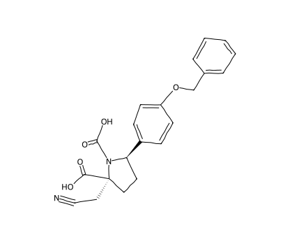 N#CC[C@@]1(C(=O)O)CC[C@H](c2ccc(OCc3ccccc3)cc2)N1C(=O)O